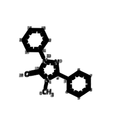 Cn1c(-c2ccccc2)nn(-c2ccccc2)c1=O